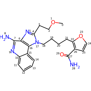 COCCc1nc2c(N)nc3ccccc3c2n1CCCCc1occc1C(N)=O